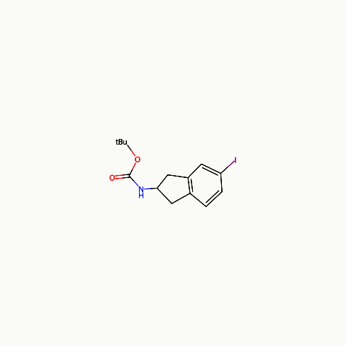 CC(C)(C)OC(=O)NC1Cc2ccc(I)cc2C1